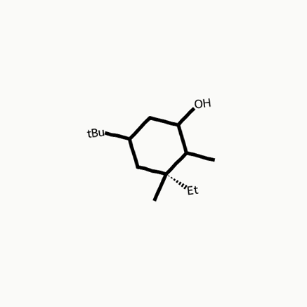 CC[C@]1(C)CC(C(C)(C)C)CC(O)C1C